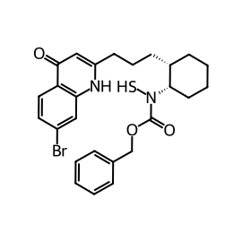 O=C(OCc1ccccc1)N(S)[C@H]1CCCC[C@H]1CCCc1cc(=O)c2ccc(Br)cc2[nH]1